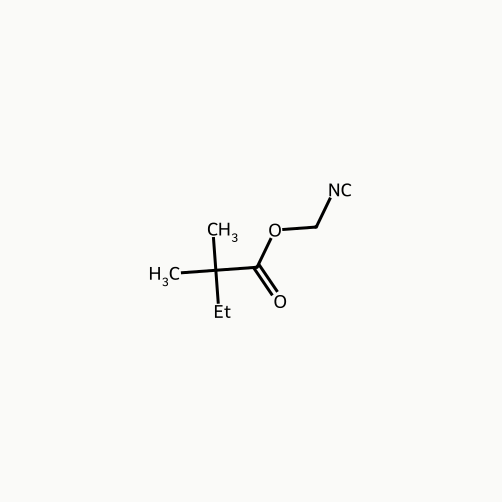 [C-]#[N+]COC(=O)C(C)(C)CC